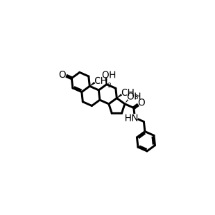 C[C@]12CCC(=O)C=C1CCC1C2[C@@H](O)C[C@@]2(C)C1CC[C@]2(O)C(=O)NCc1ccccc1